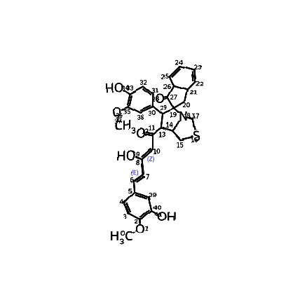 COc1ccc(/C=C/C(O)=C/C(=O)C2C3CSCN3C3(CC4C=CC=CC4C3=O)C2c2ccc(O)c(OC)c2)cc1O